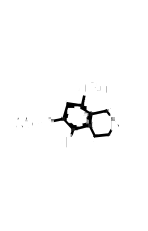 COc1cc(C(C)(C)C)c2c(c1F)CCNC2